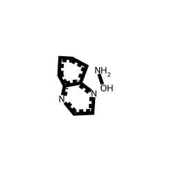 NO.c1ccc2nccnc2c1